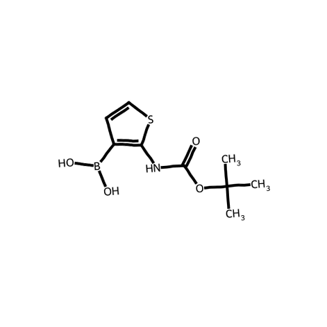 CC(C)(C)OC(=O)Nc1sccc1B(O)O